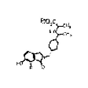 CCOC(=O)[C@@H](C)NC(C)[C@H]1CC[C@H](CN2Cc3ccc(O)c(F)c3C2=O)CC1